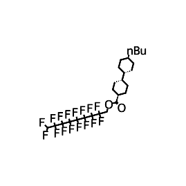 CCCC[C@H]1CC[C@H]([C@H]2CC[C@H](C(=O)OCC(F)(F)C(F)(F)C(F)(F)C(F)(F)C(F)(F)C(F)(F)C(F)(F)C(F)F)CC2)CC1